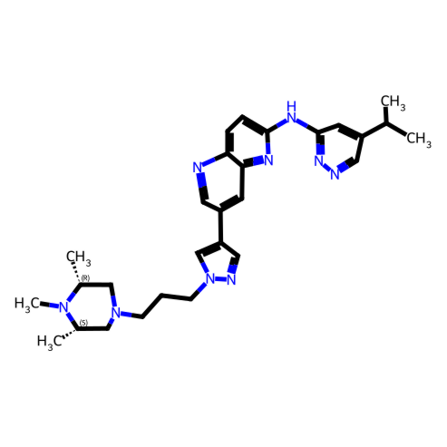 CC(C)c1cnnc(Nc2ccc3ncc(-c4cnn(CCCN5C[C@@H](C)N(C)[C@@H](C)C5)c4)cc3n2)c1